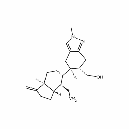 C=C1CC[C@H]2[C@H](CN)[C@@H]([C@@]3(C)Cc4cn(C)nc4C[C@@H]3CO)CC[C@]12C